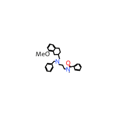 COc1cccc2c1CC(CN(CCCN(C)C(=O)c1ccccc1)Cc1ccccc1)CC2